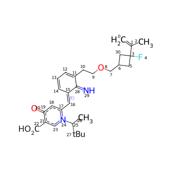 C=C(C)C1(F)CC(COCCC2=CC=C/C(=C\c3cc(=O)c(C(=O)O)cn3C(C)C(C)(C)C)C2=N)C1